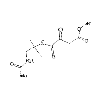 CCC(C)C(=O)NCC(C)(C)SC(=O)C(=O)CC(=O)OC(C)C